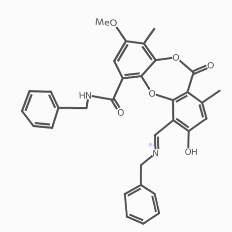 COc1cc(C(=O)NCc2ccccc2)c2c(c1C)OC(=O)c1c(C)cc(O)c(/C=N/Cc3ccccc3)c1O2